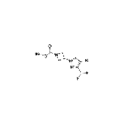 CC(C)(C)OC(=O)N1CC(n2cc(Br)c(C(F)F)n2)C1